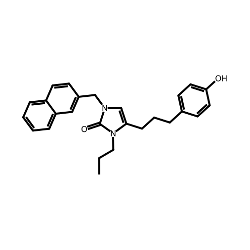 CCCn1c(CCCc2ccc(O)cc2)cn(Cc2ccc3ccccc3c2)c1=O